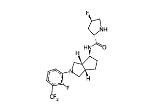 O=C(N[C@H]1CC[C@@H]2CN(c3cccc(C(F)(F)F)c3F)C[C@@H]21)[C@@H]1C[C@@H](F)CN1